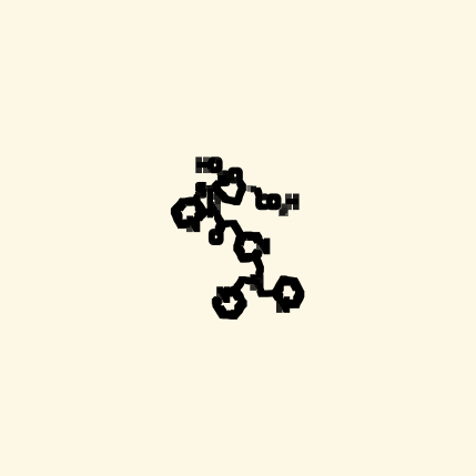 O=C(O)C[C@@H]1CC[C@H](Sc2cccnc2NC(=O)Cc2ccc(CN(Cc3ccccn3)Cc3ccccn3)nc2)B(O)O1